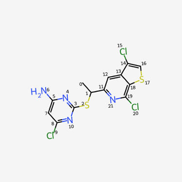 CC(Sc1nc(N)cc(Cl)n1)c1cc2c(Cl)csc2c(Cl)n1